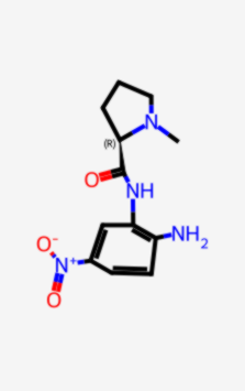 CN1CCC[C@@H]1C(=O)Nc1cc([N+](=O)[O-])ccc1N